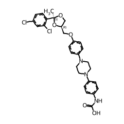 C[C@]1(c2ccc(Cl)cc2Cl)OC[C@@H](COc2ccc(N3CCN(c4ccc(NC(=O)O)cc4)CC3)cc2)O1